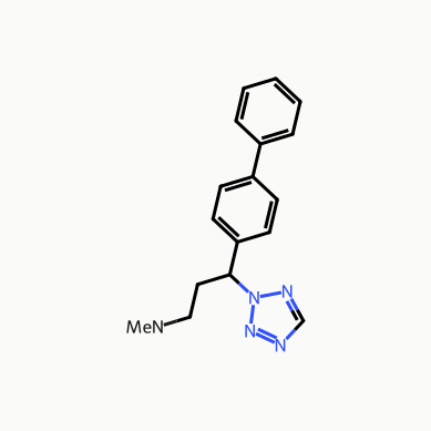 CNCCC(c1ccc(-c2ccccc2)cc1)n1ncnn1